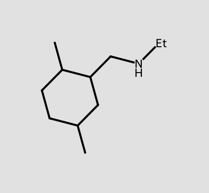 CCNCC1CC(C)CCC1C